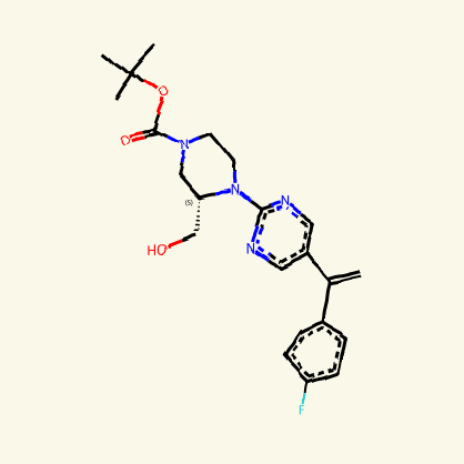 C=C(c1ccc(F)cc1)c1cnc(N2CCN(C(=O)OC(C)(C)C)C[C@H]2CO)nc1